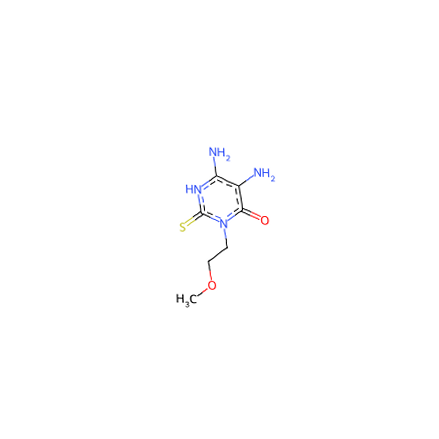 COCCn1c(=S)[nH]c(N)c(N)c1=O